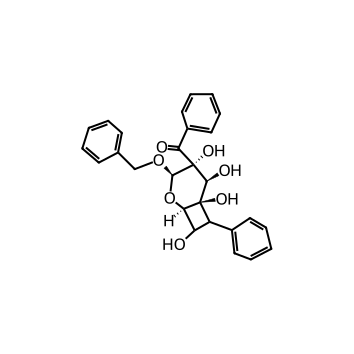 O=C(c1ccccc1)[C@]1(O)[C@H](OCc2ccccc2)O[C@@H]2C(O)C(c3ccccc3)[C@@]2(O)[C@@H]1O